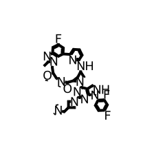 COC1CN(C)C(=O)C2CC(CN2c2nc(N3CC(CN(C)C)C3)nc3c2CNN3c2ccc(F)cc2F)Nc2cccc(n2)-c2cc(F)cc3nc(C)n(c23)C1